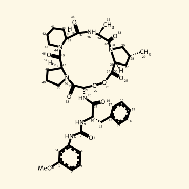 COc1cccc(NC(=O)N[C@@H](Cc2ccccc2)C(=O)N[C@H]2COC(=O)[C@@H]3C[C@@H](C)CN3C(=O)[C@H](C)NC(=O)[C@@H]3CCCCN3C(=O)[C@@H]3CCCN3C2=O)c1